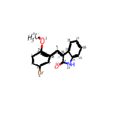 COc1ccc(Br)cc1/C=C1\C(=O)Nc2ccccc21